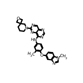 Cc1cc(Nc2ncnc3cnc(N4CCCC5(COC5)C4)nc23)ccc1Oc1ccc2c(c1)ncn2C